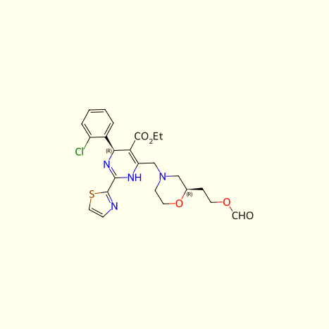 CCOC(=O)C1=C(CN2CCO[C@H](CCOC=O)C2)NC(c2nccs2)=N[C@H]1c1ccccc1Cl